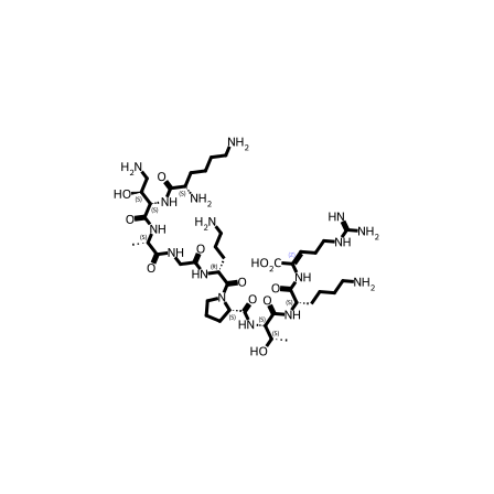 C[C@H](NC(=O)[C@@H](NC(=O)[C@@H](N)CCCCN)[C@@H](O)CN)C(=O)NCC(=O)N[C@H](CCCN)C(=O)N1CCC[C@H]1C(=O)N[C@H](C(=O)N[C@@H](CCCCN)C(=O)N/C(=C\CCNC(=N)N)C(=O)O)[C@H](C)O